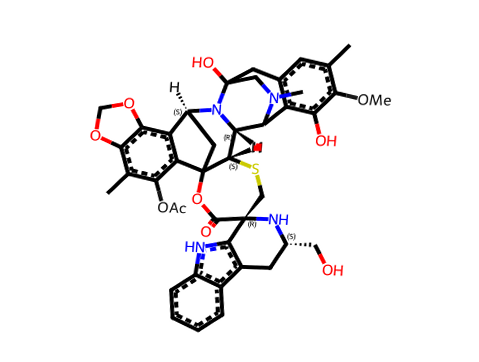 COc1c(C)cc2c(c1O)C1[C@@H]3[C@@H]4SC[C@]5(N[C@H](CO)Cc6c5[nH]c5ccccc65)C(=O)OC45C[C@@H](c4c6c(c(C)c(OC(C)=O)c45)OCO6)N3C(O)(C2)CN1C